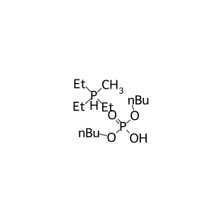 CCCCOP(=O)(O)OCCCC.CC[PH](C)(CC)CC